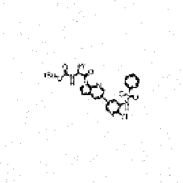 CC(C)[C@H](NC(=O)OC(C)(C)C)C(=O)n1ccc2cc(-c3cnc(Cl)c(NS(=O)(=O)c4ccccc4)c3)cnc21